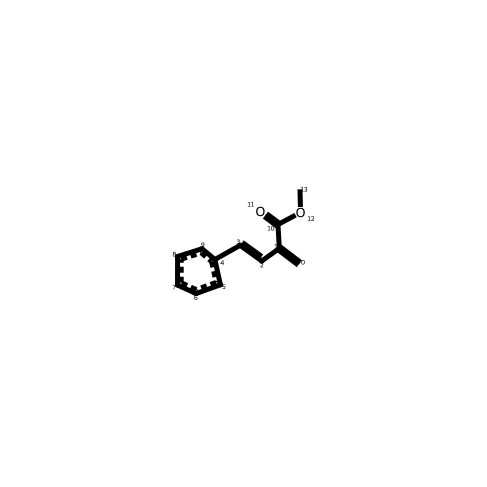 C=C(C=Cc1ccccc1)C(=O)OC